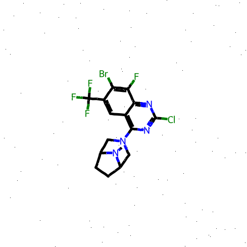 CN1C2CCC1CN(c1nc(Cl)nc3c(F)c(Br)c(C(F)(F)F)cc13)C2